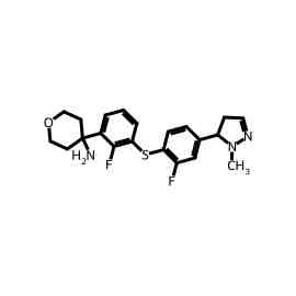 CN1N=CCC1c1ccc(Sc2cccc(C3(N)CCOCC3)c2F)c(F)c1